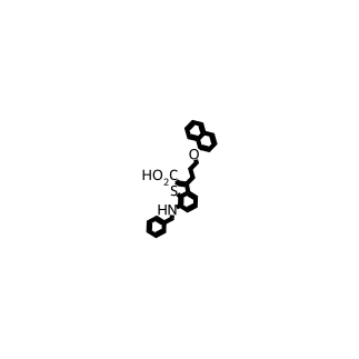 O=C(O)c1sc2c(NCc3ccccc3)cccc2c1CCCOc1cccc2ccccc12